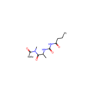 CNC(=O)N(C)C(=O)C(C)NC(=O)NC(=O)CCC(C)C